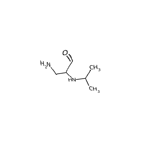 CC(C)NC(C=O)CN